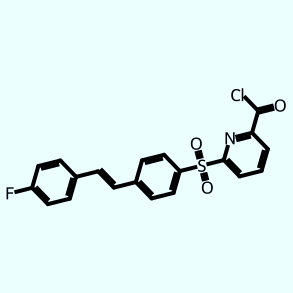 O=C(Cl)c1cccc(S(=O)(=O)c2ccc(C=Cc3ccc(F)cc3)cc2)n1